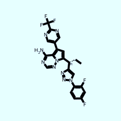 CC[C@H](c1cn(-c2ccc(F)cc2F)nn1)c1cc(-c2cnc(C(F)(F)F)nc2)c2c(N)ncnn12